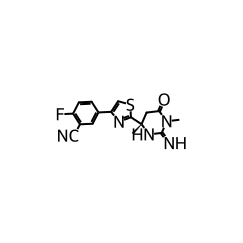 CN1C(=N)N[C@](C)(c2nc(-c3ccc(F)c(C#N)c3)cs2)CC1=O